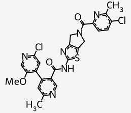 COc1cnc(Cl)cc1-c1cc(C)ncc1C(=O)Nc1nc2c(s1)CN(C(=O)c1ccc(Cl)c(C)n1)C2